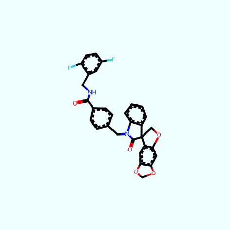 O=C(NCc1cc(F)ccc1F)c1ccc(CN2C(=O)C3(COc4cc5c(cc43)OCO5)c3ccccc32)cc1